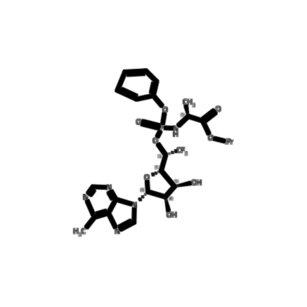 Cc1ncnc2c1ncn2[C@@H]1O[C@H]([C@H](OP(=O)(N[C@@H](C)C(=O)OC(C)C)Oc2ccccc2)C(F)(F)F)[C@@H](O)[C@H]1O